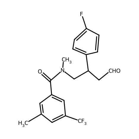 Cc1cc(C(=O)N(C)CC(CC=O)c2ccc(F)cc2)cc(C(F)(F)F)c1